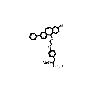 CCOC(=O)C(Cc1ccc(OCCOC2c3ccc(CC)cc3C=Cc3cc(-c4ccccc4)ccc32)cc1)OC